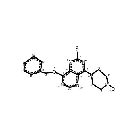 [O-][S+]1CCN(c2nc(Cl)nc3c(OCc4ccccc4)ncnc23)CC1